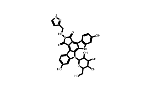 O=C1c2c(c3c4ccc(O)cc4n(C4OC(CO)C(O)C(O)C4O)c3c3[nH]c4cc(O)ccc4c23)C(=O)N1NCc1cc[nH]n1